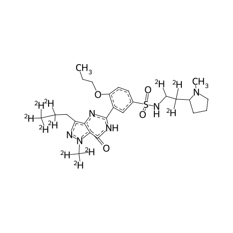 [2H]C(NS(=O)(=O)c1ccc(OCCC)c(-c2nc3c(CC([2H])([2H])C([2H])([2H])[2H])nn(C([2H])([2H])[2H])c3c(=O)[nH]2)c1)C([2H])([2H])C1CCCN1C